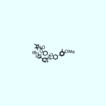 COc1ccc([C@H]2CC[C@H](CN(c3cc(-c4cnc(C(C)(C)C)s4)ccn3)C(=O)[C@H]3CC[C@H](OC(=O)N4CC(C)C4(C)C)CC3)CC2)cc1C